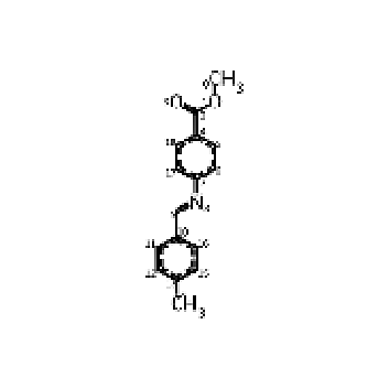 COC(=O)c1ccc(N=Cc2ccc(C)cc2)cc1